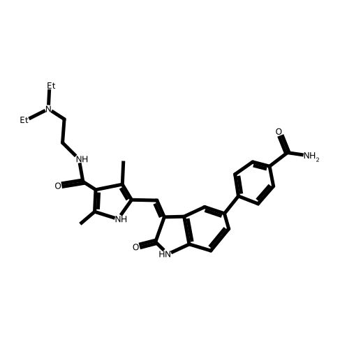 CCN(CC)CCNC(=O)c1c(C)[nH]c(/C=C2\C(=O)Nc3ccc(-c4ccc(C(N)=O)cc4)cc32)c1C